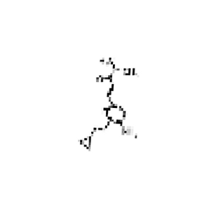 CN(C)C(=O)/C=C/c1ccc(N)c(CCC2CC2)n1